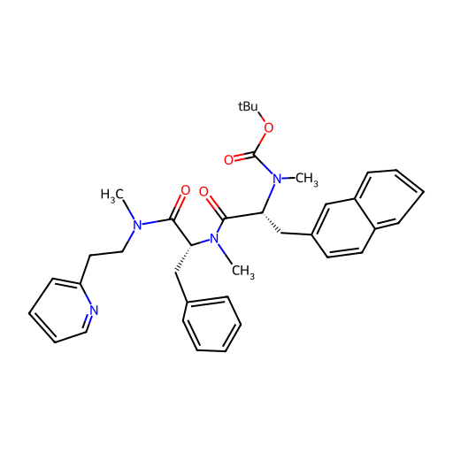 CN(CCc1ccccn1)C(=O)[C@@H](Cc1ccccc1)N(C)C(=O)[C@@H](Cc1ccc2ccccc2c1)N(C)C(=O)OC(C)(C)C